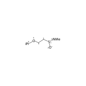 CN[S+]([O-])CCOC(C)C